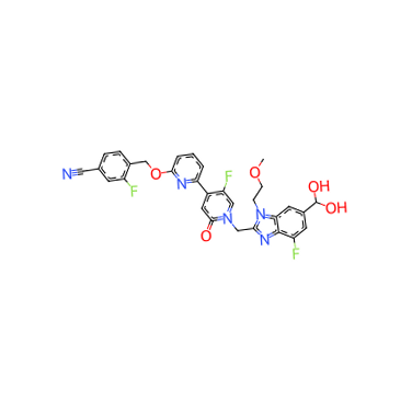 COCCn1c(Cn2cc(F)c(-c3cccc(OCc4ccc(C#N)cc4F)n3)cc2=O)nc2c(F)cc(C(O)O)cc21